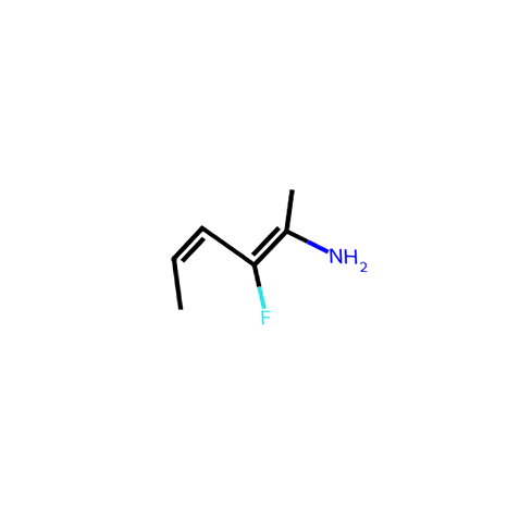 C/C=C\C(F)=C(/C)N